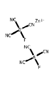 N#C[B-](F)(C#N)C#N.N#C[B-](F)(C#N)C#N.[Zn+2]